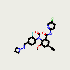 C#Cc1cc(OC)c(N(C=O)c2ccc(C=NN3CCC3)cc2F)c(C(=O)Nc2ccc(Cl)cn2)c1